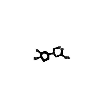 CC(C)COC(=O)CN(CC(F)(F)F)c1ccc(C#N)c(Cl)c1